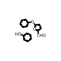 O=Cc1ccc(Oc2ccccc2)o1.Oc1ccccc1